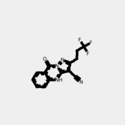 N#Cc1c(CCC(F)(F)F)nn2c(=O)c3ccccc3[nH]c12